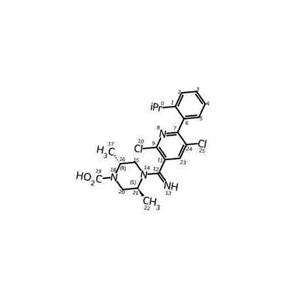 CC(C)c1ccccc1-c1nc(Cl)c(C(=N)N2C[C@@H](C)N(C(=O)O)C[C@@H]2C)cc1Cl